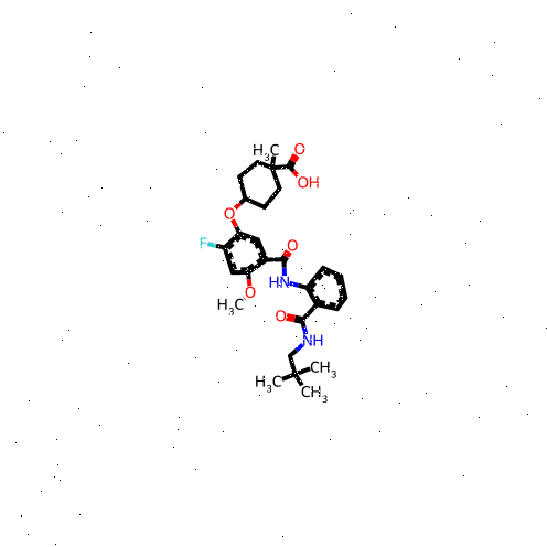 COc1cc(F)c(OC2CCC(C)(C(=O)O)CC2)cc1C(=O)Nc1ccccc1C(=O)NCC(C)(C)C